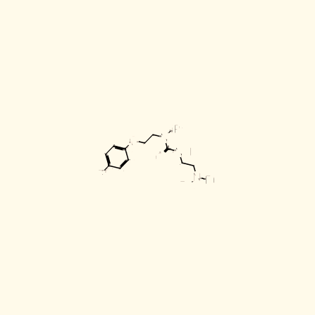 CCN(CC)CCNC(=O)N(CCOc1ccc(F)cc1)C(C)C